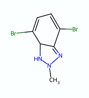 CN1N=C2C(Br)=CC=C(Br)C2N1